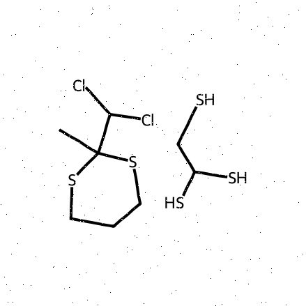 CC1(C(Cl)Cl)SCCCS1.SCC(S)S